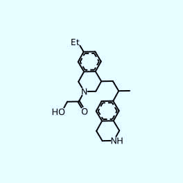 CCc1ccc2c(c1)CN(C(=O)CO)CC2CC(C)c1ccc2c(c1)CNCC2